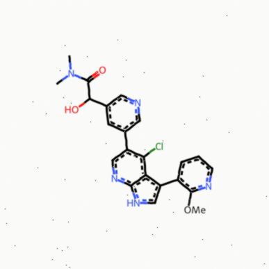 COc1ncccc1-c1c[nH]c2ncc(-c3cncc(C(O)C(=O)N(C)C)c3)c(Cl)c12